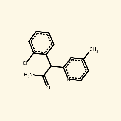 Cc1ccnc(C(C(N)=O)c2ccccc2Cl)c1